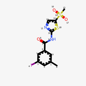 Cc1cc(I)cc(C(=O)Nc2ncc(S(C)(=O)=O)s2)c1